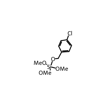 CO[Si](OC)(OC)OCc1ccc(Cl)cc1